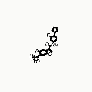 O=C(Nc1ccc(C2CCCC2)c(F)c1)c1coc2cc(-c3nnn[nH]3)c(F)cc12